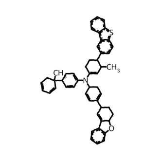 CC1C=C(N(C2=CCC(C3(C)C=CC=CC3)C=C2)C2C=CC(C3C=C4c5ccccc5OC4CC3)=CC2)CCC1c1ccc2sc3ccccc3c2c1